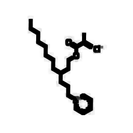 C=C(C)C(=O)OCCC(CCCCCCCC)CCC[n+]1ccccc1.[Cl-]